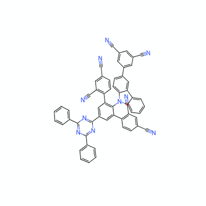 N#Cc1cc(C#N)cc(-c2ccc3c(c2)c2ccccc2n3-c2c(-c3ccc(C#N)cc3C#N)cc(-c3nc(-c4ccccc4)nc(-c4ccccc4)n3)cc2-c2ccc(C#N)cc2C#N)c1